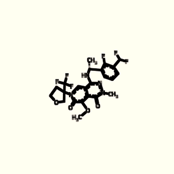 COc1c(=O)n(C2(C(F)(F)F)CCOC2)cc2c(N[C@H](C)c3cccc(C(F)F)c3F)nn(C)c(=O)c12